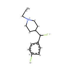 CC(C)CN1CCC(C(F)c2ccc(F)cc2)CC1